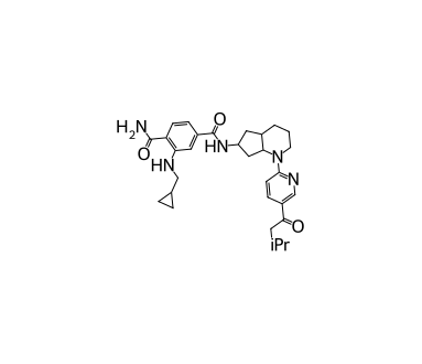 CC(C)CC(=O)c1ccc(N2CCCC3CC(NC(=O)c4ccc(C(N)=O)c(NCC5CC5)c4)CC32)nc1